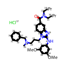 COc1cc(Nc2nc3cc(C(=O)N(CC(C)C)CC(C)C)ccc3n2CCCN(C)Cc2ccccc2)cc(OC)c1.Cl